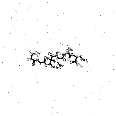 CCCCCCC(OC(=O)CNC(=O)[C@@H](C)[C@H](C)O)C(F)(F)C(=O)N(C)[C@@H](CC(C)C)C(=O)N[C@H](C(=O)N[C@@H](CN)C(N)=O)[C@H](C)CC